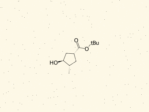 C[C@H]1C[C@@H](C(=O)OC(C)(C)C)C[C@@H]1O